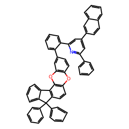 c1ccc(-c2cc(-c3ccc4ccccc4c3)cc(-c3ccccc3-c3ccc4c(c3)Oc3c(ccc5c3-c3ccccc3C5(c3ccccc3)c3ccccc3)O4)n2)cc1